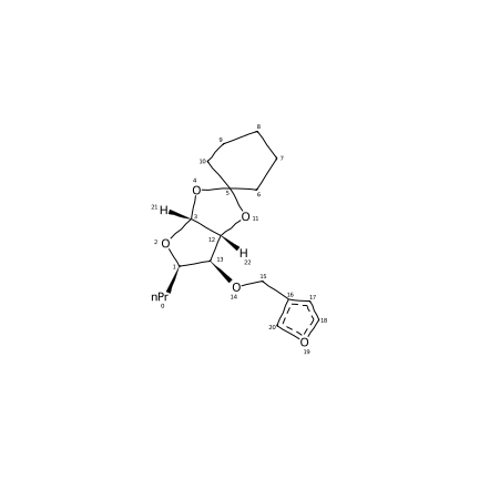 CCC[C@H]1O[C@@H]2OC3(CCCCC3)O[C@@H]2[C@H]1OCc1ccoc1